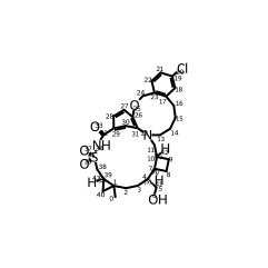 CC12CC[C@H](CO)[C@@H]3CC[C@H]3CN3CCCCc4cc(Cl)ccc4COc4ccc(cc43)C(=O)NS(=O)(=O)C[C@H]1C2